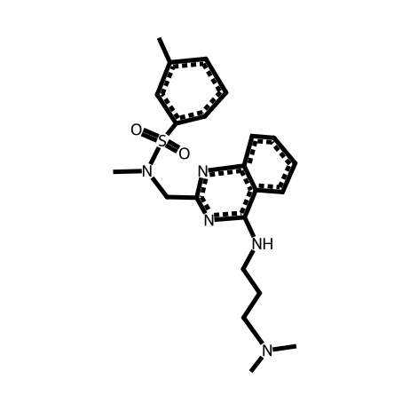 Cc1cccc(S(=O)(=O)N(C)Cc2nc(NCCCN(C)C)c3ccccc3n2)c1